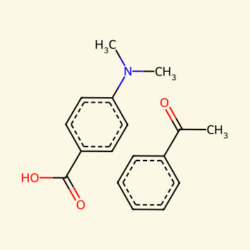 CC(=O)c1ccccc1.CN(C)c1ccc(C(=O)O)cc1